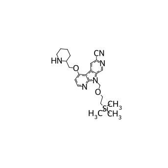 C[Si](C)(C)CCOCn1c2cnc(C#N)cc2c2c(OCC3CCCCN3)ccnc21